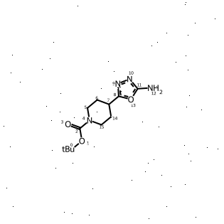 CC(C)(C)OC(=O)N1CCC(c2nnc(N)o2)CC1